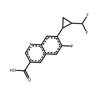 O=C(O)c1cnc2cc(C3CC3C(F)F)c(F)cc2c1